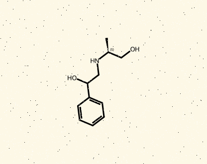 C[C@@H](CO)NCC(O)c1ccccc1